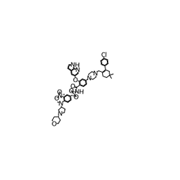 CN(c1ccc(S(=O)(=O)NC(=O)c2ccc(N3CCN(CC4=C(c5ccc(Cl)cc5)CC(C)(C)CC4)CC3)cc2Oc2cnc3[nH]ccc3c2)cc1[N+](=O)[O-])[C@H]1CCN(C2CCOCC2)C1